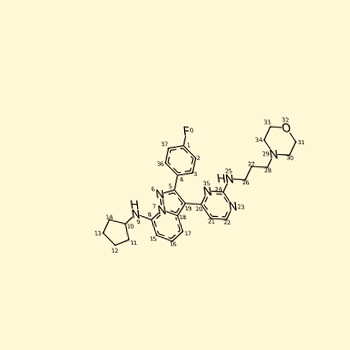 Fc1ccc(-c2nn3c(NC4CCCC4)cccc3c2-c2ccnc(NCCCN3CCOCC3)n2)cc1